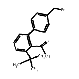 CC(C)(C)c1cccc(-c2ccc(CBr)cc2)c1C(=O)O